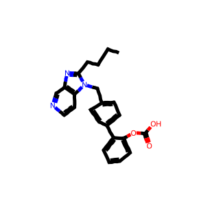 CCCCc1nc2cnccc2n1Cc1ccc(-c2ccccc2OC(=O)O)cc1